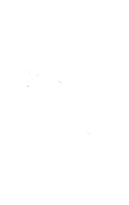 CCCCC/C=C\CCCCCCCCCCCC/C=C\CCCCCC(O)(C[N+](C)(C)C)P(=O)(O)O